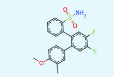 COc1ccc(-c2cc(F)c(F)cc2-c2ccccc2S(N)(=O)=O)cc1C